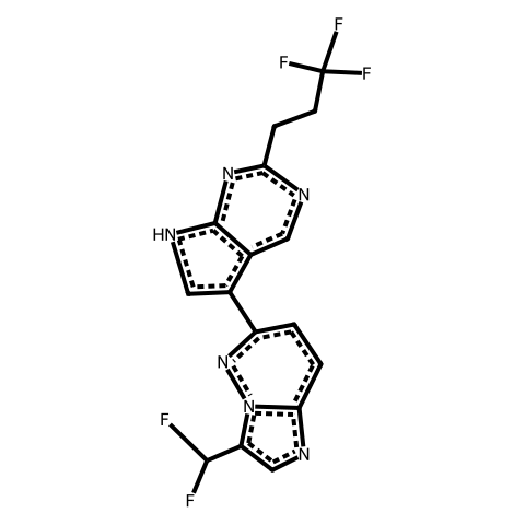 FC(F)c1cnc2ccc(-c3c[nH]c4nc(CCC(F)(F)F)ncc34)nn12